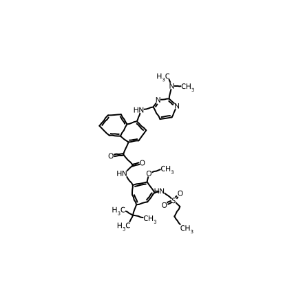 CCCS(=O)(=O)Nc1cc(C(C)(C)C)cc(NC(=O)C(=O)c2ccc(Nc3ccnc(N(C)C)n3)c3ccccc23)c1OC